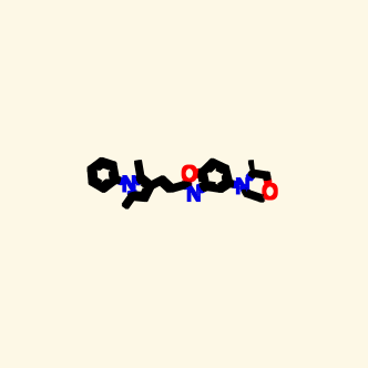 Cc1cc(/C=C/c2nc3cc(N4CCOC[C@@H]4C)ccc3o2)c(C)n1-c1ccccc1